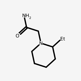 CCC1CCCCN1CC(N)=O